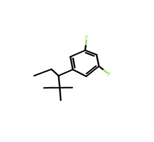 CCC(c1cc(F)cc(F)c1)C(C)(C)C